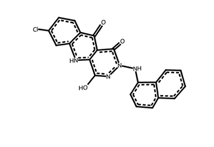 O=c1c2ccc(Cl)cc2[nH]c2c(O)nn(Nc3cccc4ccccc34)c(=O)c12